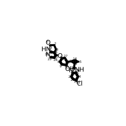 O=C1CCc2c(Oc3ccc(O)c(C4C5CC54c4nc5ccc(Cl)cc5[nH]4)c3)ccnc2N1